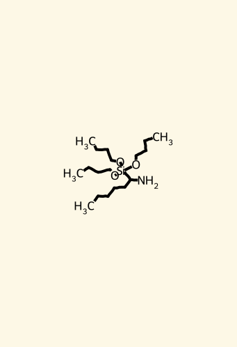 CCCCCC(N)[Si](OCCCC)(OCCCC)OCCCC